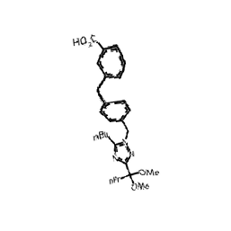 CCCCc1nc(C(CCC)(OC)OC)nn1Cc1ccc(Cc2cccc(C(=O)O)c2)cc1